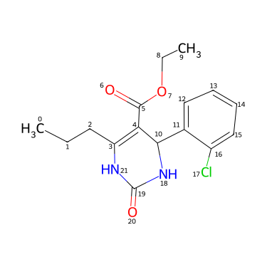 CCCC1=C(C(=O)OCC)C(c2ccccc2Cl)NC(=O)N1